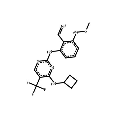 CSNc1cccc(Nc2ncc(C(F)(F)F)c(NC3CCC3)n2)c1C=N